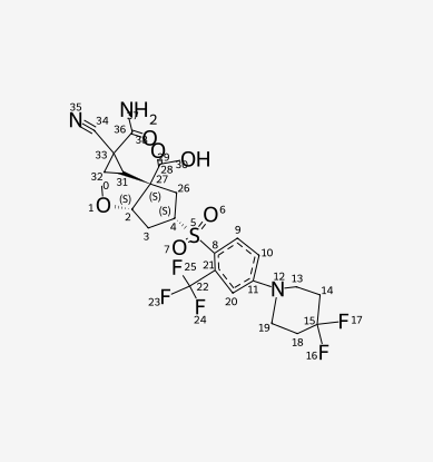 CO[C@H]1C[C@@H](S(=O)(=O)c2ccc(N3CCC(F)(F)CC3)cc2C(F)(F)F)C[C@]1(C(=O)O)C1CC1(C#N)C(N)=O